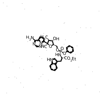 CCOC(=O)[C@H](Cc1c[nH]c2ccccc12)NP(=O)(OC[C@H]1O[C@@](C#N)(c2ccc3c(N)ncnn23)[C@@H](C)[C@@H]1O)Oc1ccccc1